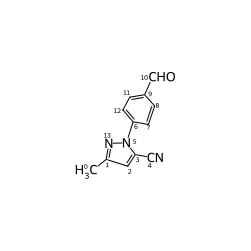 Cc1cc(C#N)n(-c2ccc(C=O)cc2)n1